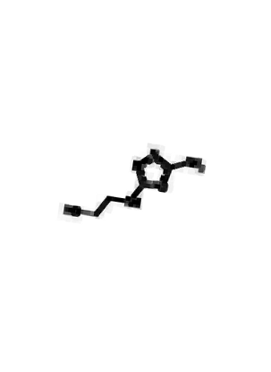 Nc1nnc(NCCO)o1